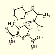 CC(NC1CCCCC1)C(=O)O.Cc1ccc(C(=O)O)cc1C(=O)O